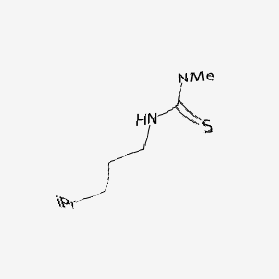 CNC(=S)NCCCC(C)C